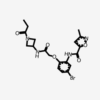 CCC(=O)N1CC(NC(=O)COc2ccc(Br)cc2NC(=O)c2cc(C)no2)C1